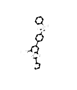 Nc1cc(-c2ccc(S(=O)(=O)Nc3ccccc3)cc2)cc2nc(-c3ccco3)nn12